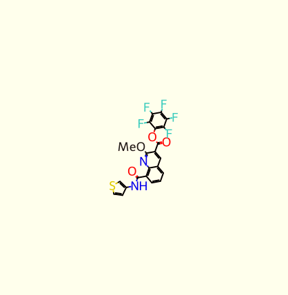 COc1nc2c(C(=O)Nc3ccsc3)cccc2cc1C(=O)Oc1c(F)c(F)c(F)c(F)c1F